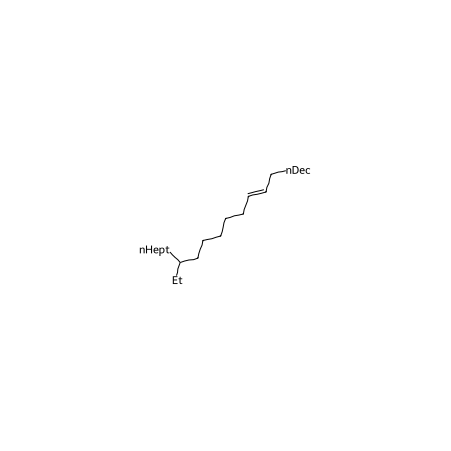 [CH2]CCCCCCCCCC/C=C/CCCCCC(CC)CCCCCC[CH2]